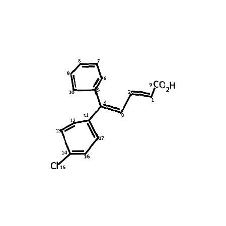 O=C(O)/C=C/C=C(\c1ccccc1)c1ccc(Cl)cc1